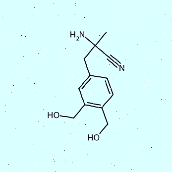 CC(N)(C#N)Cc1ccc(CO)c(CO)c1